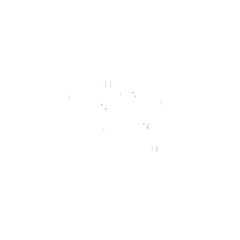 C=C(C)NC(C)C(C=C(C)C)/C(C)=C(/C)C(=C)N